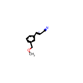 COCc1cccc(/C=C/C#N)c1